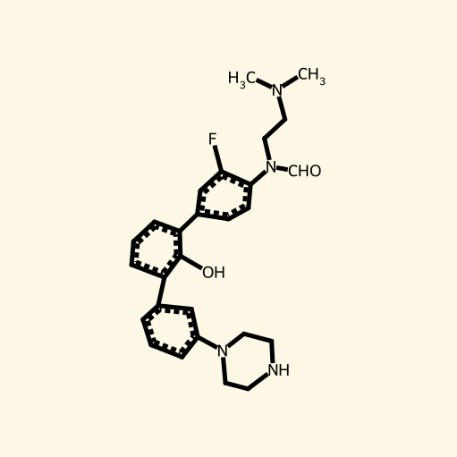 CN(C)CCN(C=O)c1ccc(-c2cccc(-c3cccc(N4CCNCC4)c3)c2O)cc1F